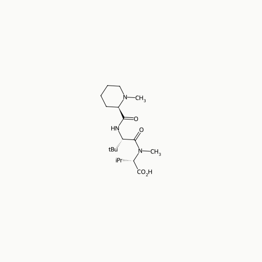 CC(C)[C@@H](C(=O)O)N(C)C(=O)[C@@H](NC(=O)[C@H]1CCCCN1C)C(C)(C)C